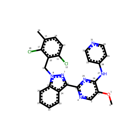 COc1cnc(-c2nn(Cc3c(Cl)ccc(C)c3Cl)c3ccccc23)nc1Nc1ccncc1